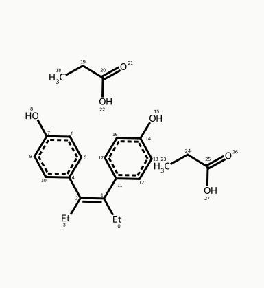 CCC(=C(CC)c1ccc(O)cc1)c1ccc(O)cc1.CCC(=O)O.CCC(=O)O